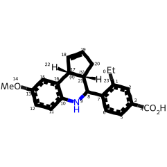 CCc1cc(C(=O)O)ccc1C1Nc2ccc(OC)cc2[C@@H]2C=CC[C@H]12